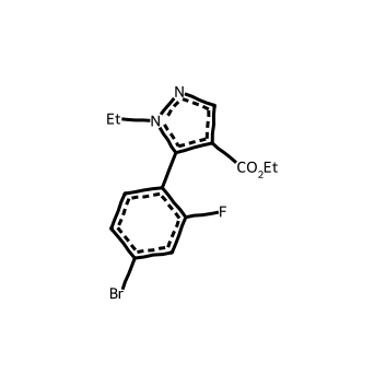 CCOC(=O)c1cnn(CC)c1-c1ccc(Br)cc1F